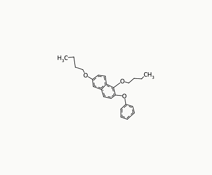 CCCCOc1ccc2c(OCCCC)c(Oc3ccccc3)ccc2c1